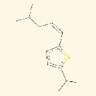 CC(C)C/C=C\c1ccc(C(C)C)s1